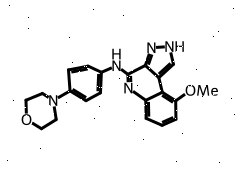 COc1cccc2nc(Nc3ccc(N4CCOCC4)cc3)c3n[nH]cc3c12